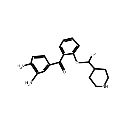 CCCC(Oc1ccccc1C(=O)c1ccc(N)c(N)c1)C1CCNCC1